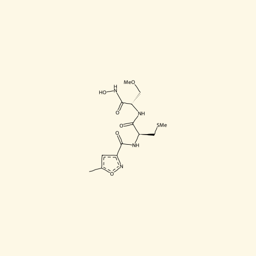 COC[C@H](NC(=O)[C@@H](CSC)NC(=O)c1cc(C)on1)C(=O)NO